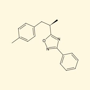 Cc1ccc(C[C@@H](C)c2nc(-c3ccccc3)no2)cc1